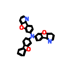 c1ccc2c(c1)oc1cc(N(c3ccc4c(c3)oc3cccnc34)c3ccc4c(c3)oc3cccnc34)ccc12